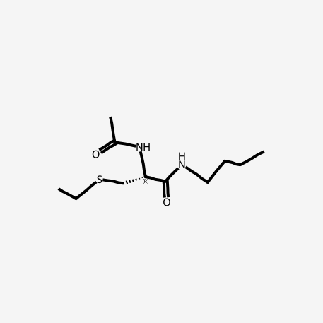 CCCCNC(=O)[C@H](CSCC)NC(C)=O